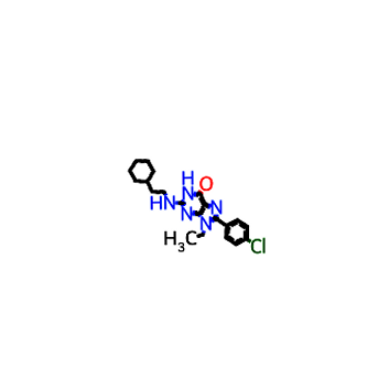 CCn1c(-c2ccc(Cl)cc2)nc2c(=O)[nH]c(NCCC3CCCCC3)nc21